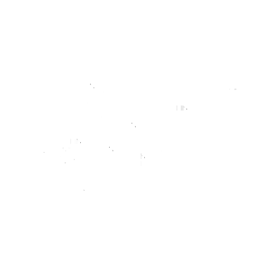 NC(=O)c1cnc(Nc2ccc3c(c2)NC[C@H](O)CO3)nc1NC12CC3CC(C1)C(O)C(C3)C2